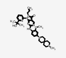 C=CCn1c(=O)c2cnc(Nc3ccc(N4CCC5(CCN(C)CC5)CC4)cc3OC)nc2n1-c1cccc(C(C)(C)O)n1